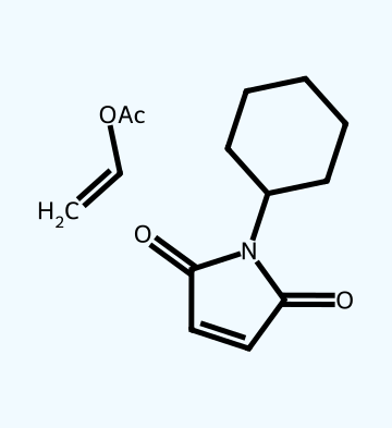 C=COC(C)=O.O=C1C=CC(=O)N1C1CCCCC1